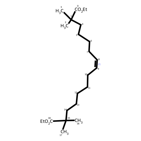 CCOC(=O)C(C)(C)CCCC/C=C\CCCCCC(C)(C)C(=O)OCC